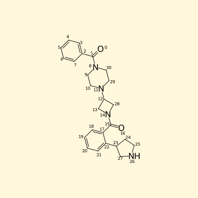 O=C(c1ccccc1)N1CCN(C2CN(C(=O)c3ccccc3C3CCNC3)C2)CC1